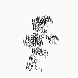 C=C(O)[C@H](C)CC1CC[C@@H]2O[C@@H](CCC/C=C/C(O[Si](C)(C)C(C)(C)C)[C@@H]3O[C@H]4CCC(CC(=O)CC5[C@H](CCO[Si](CC)(CC)CC)O[C@H](C[C@@H](CO[Si](C)(C)C(C)(C)C)O[Si](C)(C)C(C)(C)C)[C@@H]5OC)O[C@@H]4C(O[Si](C)(C)C(C)(C)C)C3O[Si](C)(C)C(C)(C)C)C[C@]2(CI)O1